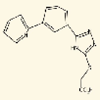 O=C(O)CSc1nnc(-c2cccc(-c3ccccn3)c2)[nH]1